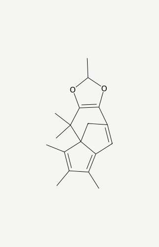 CC1=C(C)C23CC(=CC2=C1C)C1=C(OC(C)O1)C3(C)C